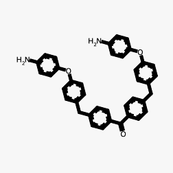 Nc1ccc(Oc2ccc(Cc3ccc(C(=O)c4ccc(Cc5ccc(Oc6ccc(N)cc6)cc5)cc4)cc3)cc2)cc1